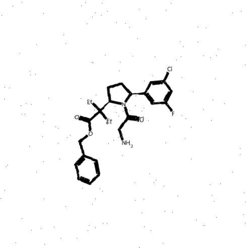 CCC(CC)(C(=O)OCc1ccccc1)[C@H]1CC[C@@H](c2cc(F)cc(Cl)c2)N1C(=O)CN